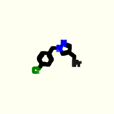 CC(C)Cc1cnn(Cc2ccc(Cl)cc2)c1